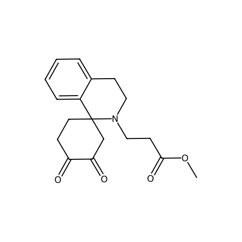 COC(=O)CCN1CCc2ccccc2C12CCC(=O)C(=O)C2